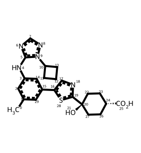 Cc1cc(Nc2ncnn2C2CCC2)cc(-c2cnc([C@]3(O)CC[C@H](C(=O)O)CC3)s2)c1